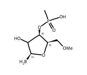 B[C@@H]1O[C@H](COC)[C@H](OP(C)(=O)O)C1O